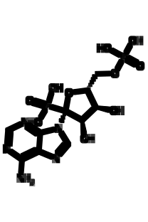 Nc1ncnc2c1ncn2[C@]1(P(=O)(O)O)O[C@H](COP(=O)(O)O)[C@@H](O)[C@H]1O